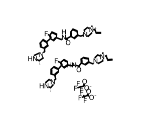 C=CC[N+]1(C)CCN(Cc2cccc(C(=O)NCc3ccc(F)c(-c4cccc(CN5CCN[C@@H](C)C5)c4)c3)c2)CC1.C=CC[N+]1(C)CCN(Cc2cccc(C(=O)NCc3ccc(F)c(-c4cccc(CN5CCN[C@@H](C)C5)c4)c3)c2)CC1.O=C([O-])C(F)(F)F.O=C([O-])C(F)(F)F